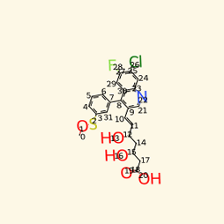 COSc1cccc(-c2c(/C=C/[C@@H](O)C[C@@H](O)CC(=O)O)cnc3cc(Cl)c(F)cc23)c1